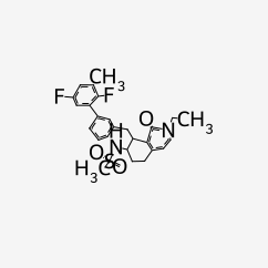 CCn1ccc2c(c1=O)C(Cc1cccc(-c3cc(F)cc(C)c3F)c1)C(NS(C)(=O)=O)CC2